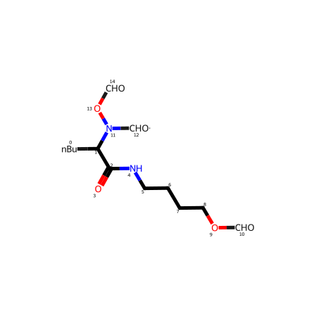 CCCCC(C(=O)NCCCCOC=O)N([C]=O)OC=O